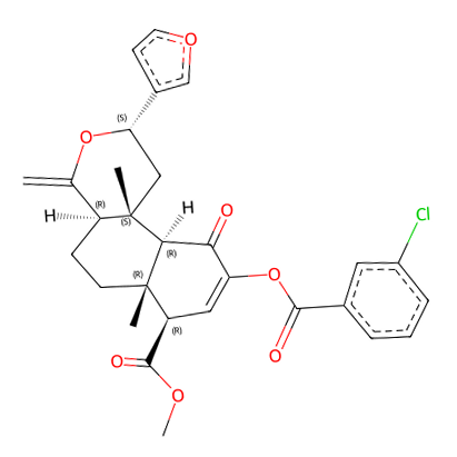 C=C1O[C@H](c2ccoc2)C[C@]2(C)[C@H]3C(=O)C(OC(=O)c4cccc(Cl)c4)=C[C@@H](C(=O)OC)[C@]3(C)CC[C@@H]12